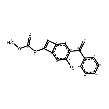 COC(=O)OC1=Cc2cc(C(=O)c3ccccc3)c(O)cc21